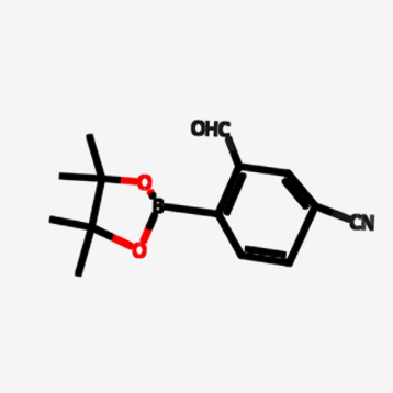 CC1(C)OB(c2ccc(C#N)cc2C=O)OC1(C)C